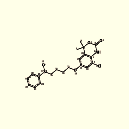 CC1(C)OC(=O)Nc2c(Cl)cc(OCCCC[S+]([O-])c3ccccc3)cc21